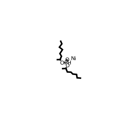 CCCCCCC(C)O[PH](=O)OC(C)CCCCCC.[Ni]